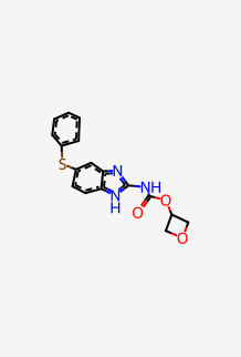 O=C(Nc1nc2cc(Sc3ccccc3)ccc2[nH]1)OC1COC1